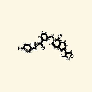 Cc1nocc1-c1ccc2c(=O)n(Cc3cccc(C(=O)NCc4ccc(F)nc4)c3)ccc2c1